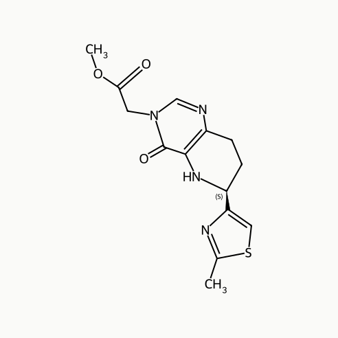 COC(=O)Cn1cnc2c(c1=O)N[C@H](c1csc(C)n1)CC2